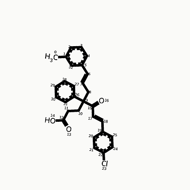 Cc1cccc(C=CCC(CCC(=O)O)(C(=O)C=Cc2ccc(Cl)cc2)c2ccccc2)c1